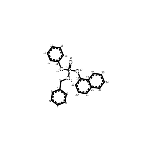 O=P(OCc1ccccc1)(Oc1ccccc1)Oc1cccc2ccccc12